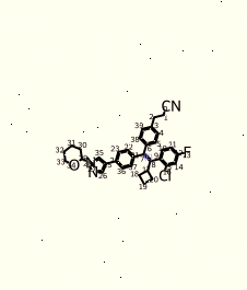 N#CCCc1ccc(/C(=C(\c2ccc(F)cc2Cl)C2CCC2)c2ccc(-c3cnn(C4CCCCO4)c3)cc2)cc1